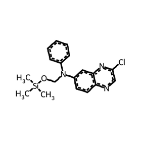 C[Si](C)(C)OCN(c1ccccc1)c1ccc2ncc(Cl)nc2c1